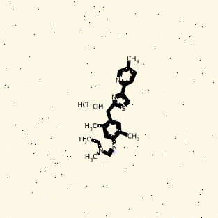 CCN(C)/C=N\c1cc(C)c(Cc2nc(-c3ccc(C)cn3)cs2)cc1C.Cl.Cl